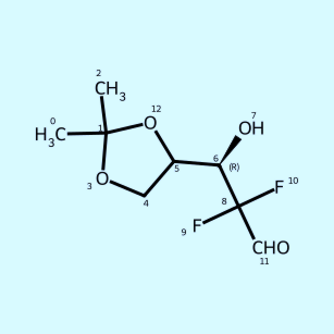 CC1(C)OCC([C@@H](O)C(F)(F)C=O)O1